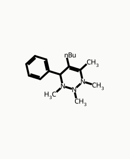 CCCCC1=C(C)N(C)N(C)N(C)C1c1ccccc1